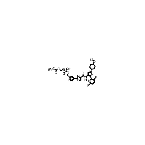 CCO[C@H]1CC[C@H](n2cc(NC(=O)c3csc(-c4cnn(COP(=O)(O)OCOC(=O)OC(C)C)c4)n3)c(-c3nc(F)ccc3F)n2)CC1